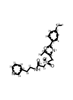 CSc1ccc(-c2nc(CS(=O)(=O)CC(=O)NCCc3cccnc3)c(C)o2)cc1